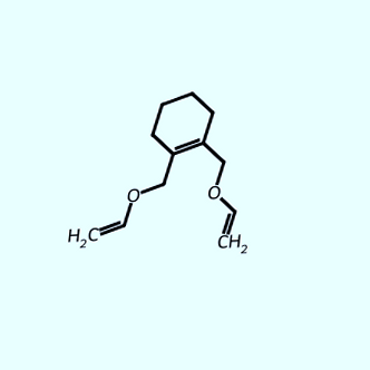 C=COCC1=C(COC=C)CCCC1